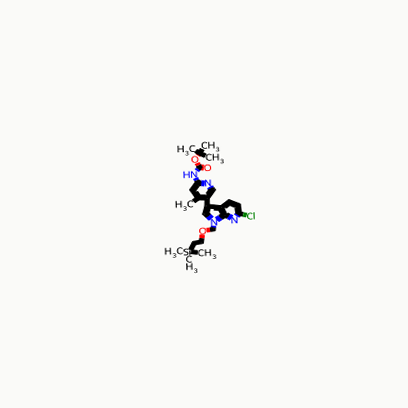 Cc1cc(NC(=O)OC(C)(C)C)ncc1-c1cn(COCC[Si](C)(C)C)c2nc(Cl)ccc12